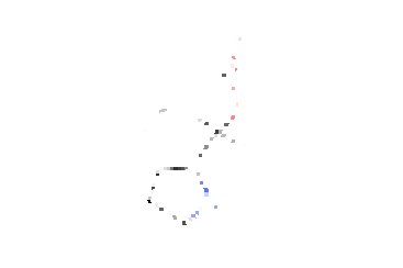 CC(C)(OC=O)C1CCCN1.Cl